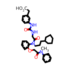 CN(C(=O)COc1ccccc1N(CCCC1CCCCC1)C(=O)CNC(=O)Nc1cccc(CC(=O)O)c1)c1ccccc1